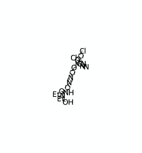 CCC(CC)N(CCO)C(=O)Nc1ccc(N2CCN(c3ccc(OC[C@@H]4CO[C@@](Cn5cncn5)(c5ccc(Cl)cc5Cl)O4)cc3)CC2)cc1